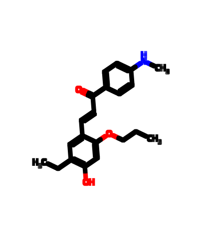 CCCOc1cc(O)c(CC)cc1/C=C/C(=O)c1ccc(NC)cc1